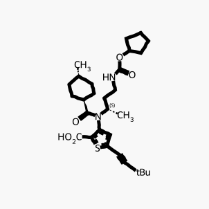 C[C@@H](CCNC(=O)OC1CCCC1)N(c1cc(C#CC(C)(C)C)sc1C(=O)O)C(=O)[C@H]1CC[C@H](C)CC1